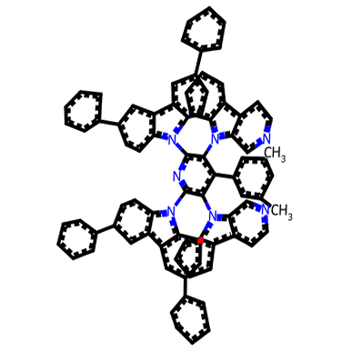 Cc1cc(C)cc(-c2c(-n3c4ccccc4c4ccncc43)c(-n3c4ccc(-c5ccccc5)cc4c4cc(-c5ccccc5)ccc43)nc(-n3c4ccc(-c5ccccc5)cc4c4cc(-c5ccccc5)ccc43)c2-n2c3ccccc3c3ccncc32)c1